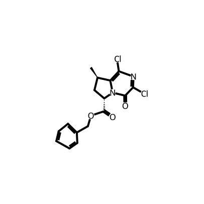 C[C@@H]1C[C@@H](C(=O)OCc2ccccc2)n2c1c(Cl)nc(Cl)c2=O